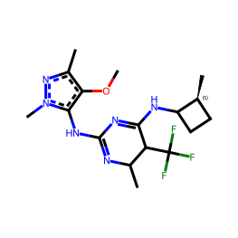 COc1c(C)nn(C)c1NC1=NC(C)C(C(F)(F)F)C(NC2CC[C@@H]2C)=N1